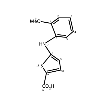 COc1ccccc1Nc1ccc(C(=O)O)s1